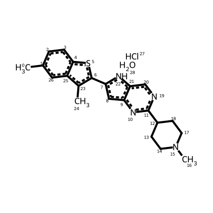 Cc1ccc2sc(-c3cc4nc(C5CCN(C)CC5)ncc4[nH]3)c(C)c2c1.Cl.O